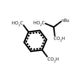 CCCCC(C(=O)O)C(=O)O.O=C(O)c1ccc(C(=O)O)cc1